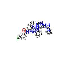 Cc1ccc(NC(=O)c2cccc(CF)c2)cc1Nc1nc2ccccc2n1-c1cc(NCCN2CCCC2)ncn1